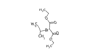 CC(C)Br.CCOC(=O)CC(=O)OCC